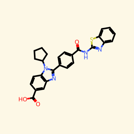 O=C(O)c1ccc2c(c1)nc(-c1ccc(C(=O)Nc3nc4ccccc4s3)cc1)n2C1CCCC1